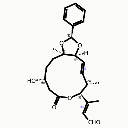 C/C(=C\C=O)[C@H]1OC(=O)C[C@H](O)CC[C@@]2(C)O[C@@H](c3ccccc3)O[C@H]2/C=C/[C@@H]1C